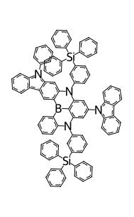 c1ccc(-n2c3ccccc3c3cc4c(cc32)N(c2cccc([Si](c3ccccc3)(c3ccccc3)c3ccccc3)c2)c2cc(-n3c5ccccc5c5ccccc53)cc3c2B4c2ccccc2N3c2cccc([Si](c3ccccc3)(c3ccccc3)c3ccccc3)c2)cc1